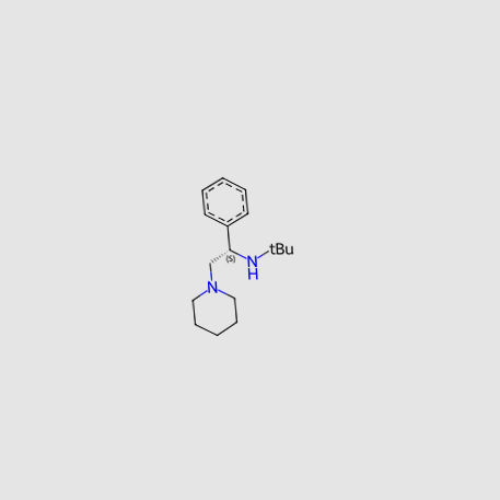 CC(C)(C)N[C@H](CN1CCCCC1)c1ccccc1